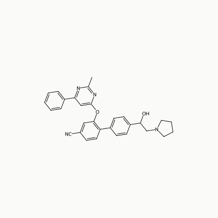 Cc1nc(Oc2cc(C#N)ccc2-c2ccc(C(O)CN3CCCC3)cc2)cc(-c2ccccc2)n1